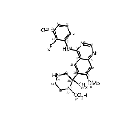 COc1cc2ncnc(Nc3cccc(Cl)c3F)c2cc1C1(C)CNCCN1C(=O)O